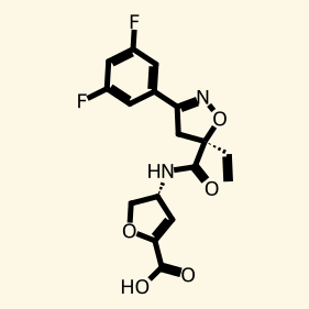 C=C[C@]1(C(=O)N[C@@H]2C=C(C(=O)O)OC2)CC(c2cc(F)cc(F)c2)=NO1